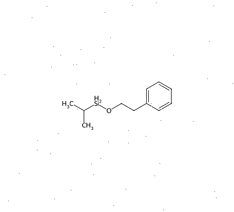 CC(C)[SiH2]OCCc1ccccc1